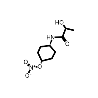 CC(O)C(=O)N[C@H]1CC[C@H](O[N+](=O)[O-])CC1